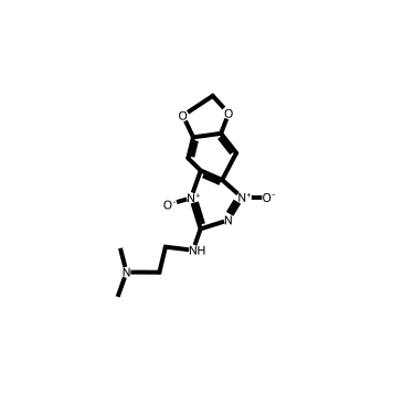 CN(C)CCNc1n[n+]([O-])c2cc3c(cc2[n+]1[O-])OCO3